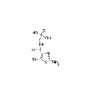 CCc1sc(N)nc1C(=O)NCP(=O)(O)O